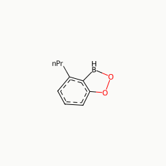 CCCc1cccc2c1BOO2